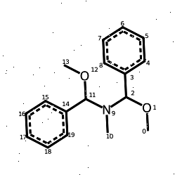 COC(c1ccccc1)N(C)C(OC)c1ccccc1